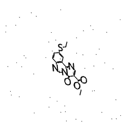 CCOC(=O)c1cnc2c3cc(SCC)ccc3ncn2c1=O